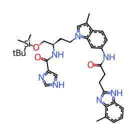 Cc1cn(CC[C@H](CO[Si](C)(C)C(C)(C)C)NC(=O)c2c[nH]cn2)c2cc(NC(=O)CCc3nc4c(C)cccc4[nH]3)ccc12